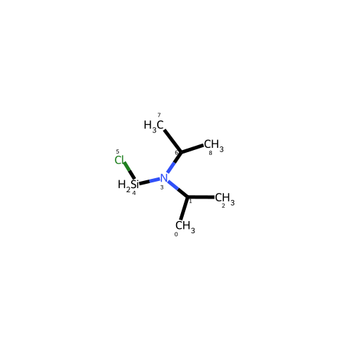 CC(C)N([SiH2]Cl)C(C)C